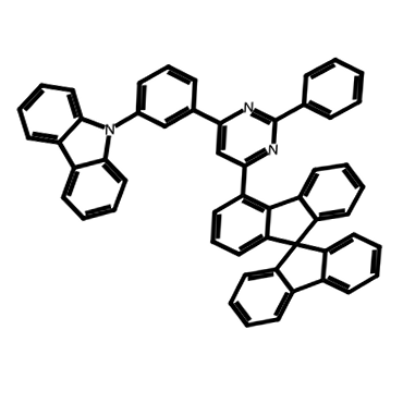 c1ccc(-c2nc(-c3cccc(-n4c5ccccc5c5ccccc54)c3)cc(-c3cccc4c3-c3ccccc3C43c4ccccc4-c4ccccc43)n2)cc1